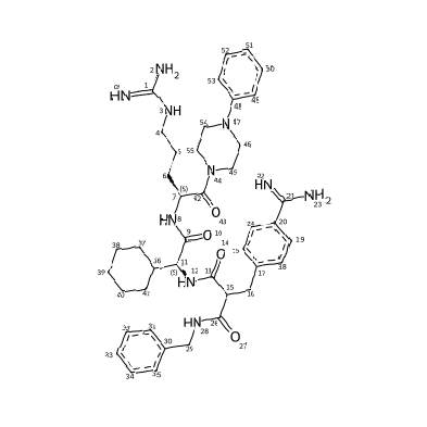 N=C(N)NCCC[C@H](NC(=O)[C@@H](NC(=O)C(Cc1ccc(C(=N)N)cc1)C(=O)NCc1ccccc1)C1CCCCC1)C(=O)N1CCN(c2ccccc2)CC1